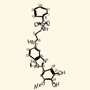 COc1cc(-c2nc3cc(NCCNS(=O)(=O)c4ccccc4)ccc3[nH]2)cc(O)c1O